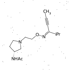 CC#C/C(=N\OCCN1CC[C@@H](NC(C)=O)C1)C(C)C